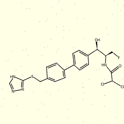 O=C(N[C@H](CF)[C@H](O)c1ccc(-c2ccc(CSc3nnc[nH]3)cc2)cc1)C(Cl)Cl